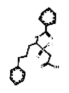 O=C(O)CP(=O)(O)C(CCCc1ccccc1)NC(=O)c1ccccc1